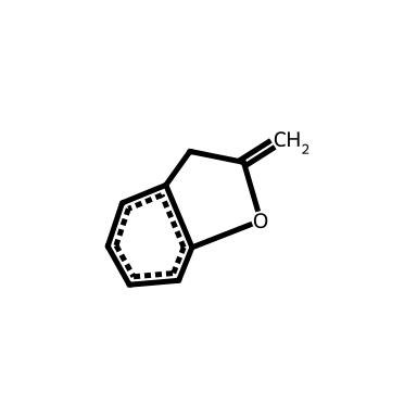 C=C1Cc2ccccc2O1